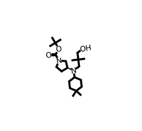 CC1(C)CCC(N(CC(C)(C)CO)[C@H]2CCN(C(=O)OC(C)(C)C)C2)CC1